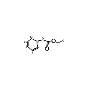 CCOC(=O)CC1C=CC=CC1